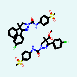 CC1(c2ccccc2)CN(C(=O)Nc2ccc(S(C)(=O)=O)cc2)N=C1c1ccc(Cl)cc1.COC(=O)C1(C)CN(C(=O)Nc2ccc(S(C)(=O)=O)cc2)N=C1c1ccc(Cl)cc1